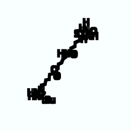 CC(C)(C)C1CN(CCCCCC(=O)OCCCCCNC(=O)CCCC[C@H]2SC[C@@H]3NC(=O)N[C@@H]32)NN1